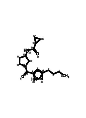 CCCCc1cc(C(=O)N2CCC(NC(=O)C3CC3)C2)[nH]n1